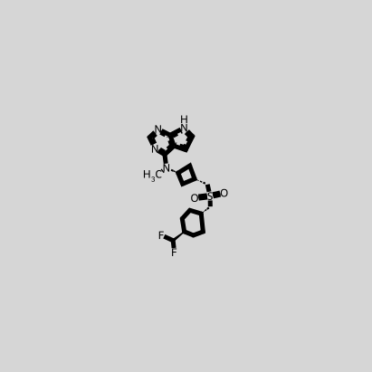 CN(c1ncnc2[nH]ccc12)[C@H]1C[C@@H](CS(=O)(=O)C[C@H]2CC[C@H](C(F)F)CC2)C1